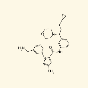 Cc1cc(C(=O)Nc2cccc(C(CCC3CC3)N3CCOCC3)c2)n(-c2cccc(CN)c2)n1